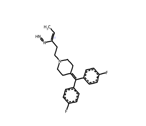 C/C=C(/CCN1CCC(=C(c2ccc(F)cc2)c2ccc(F)cc2)CC1)N=N